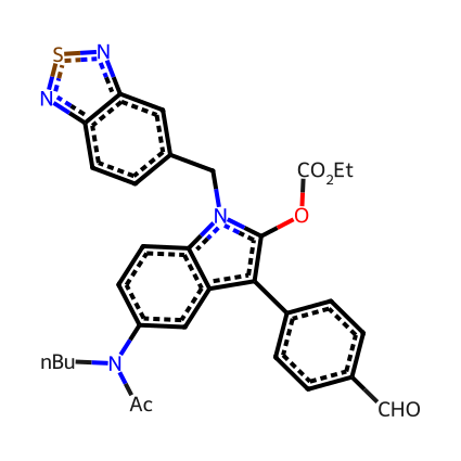 CCCCN(C(C)=O)c1ccc2c(c1)c(-c1ccc(C=O)cc1)c(OC(=O)OCC)n2Cc1ccc2nsnc2c1